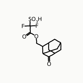 O=C1C2CC3CC(C2)C(COC(=O)C(F)(F)S(=O)(=O)O)C1C3